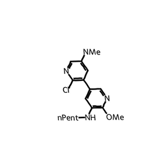 CCCCCNc1cc(-c2cc(NC)cnc2Cl)cnc1OC